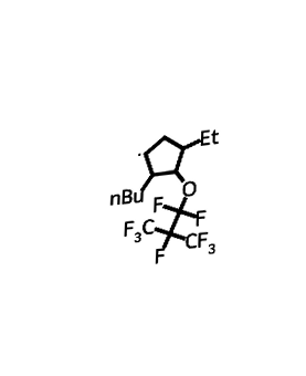 [CH2]CC1C[CH]C(CCCC)C1OC(F)(F)C(F)(C(F)(F)F)C(F)(F)F